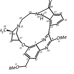 COCc1cc2c3nc(c(OC)nc3c1)-c1cccc3c(=O)n([nH]c13)CCN1CC(C[C@H]1C)O2